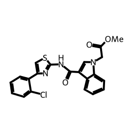 COC(=O)Cn1cc(C(=O)Nc2nc(-c3ccccc3Cl)cs2)c2ccccc21